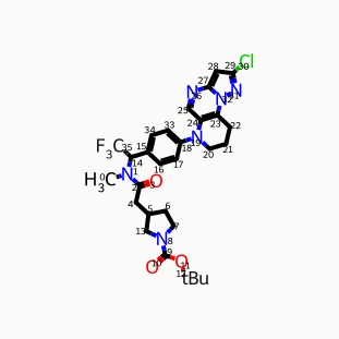 CN(C(=O)CC1CCN(C(=O)OC(C)(C)C)C1)C(c1ccc(N2CCCc3c2cnc2cc(Cl)nn32)cc1)C(F)(F)F